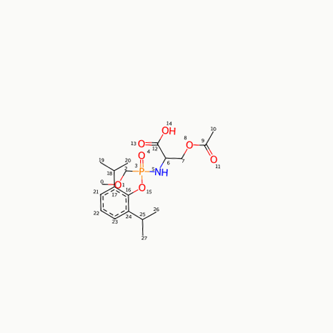 COCP(=O)(NC(COC(C)=O)C(=O)O)Oc1c(C(C)C)cccc1C(C)C